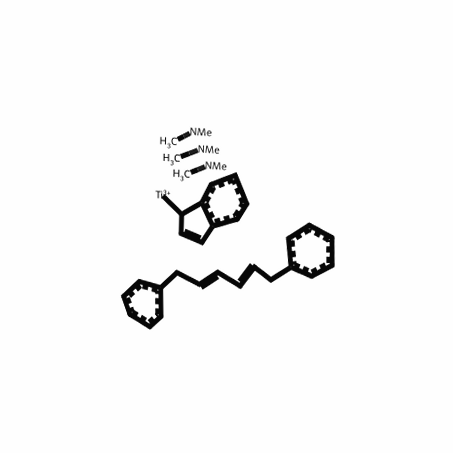 C(C=CCc1ccccc1)=CCc1ccccc1.C[N-]C.C[N-]C.C[N-]C.[Ti+3][CH]1C=Cc2ccccc21